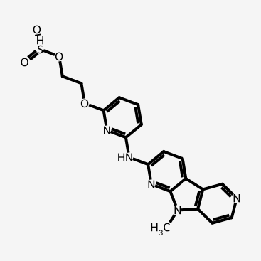 Cn1c2ccncc2c2ccc(Nc3cccc(OCCO[SH](=O)=O)n3)nc21